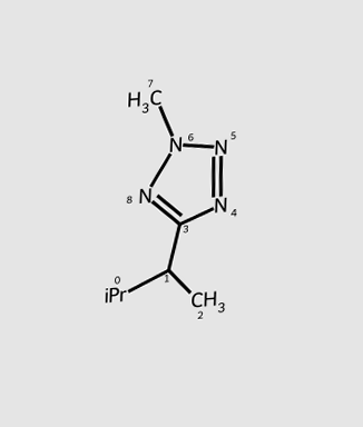 CC(C)C(C)c1nnn(C)n1